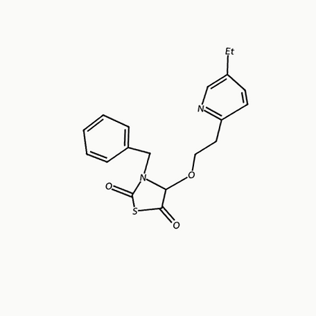 CCc1ccc(CCOC2C(=O)SC(=O)N2Cc2ccccc2)nc1